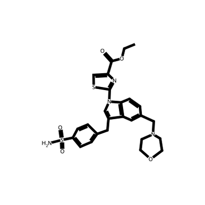 CCOC(=O)c1csc(-n2cc(Cc3ccc(S(N)(=O)=O)cc3)c3cc(CN4CCOCC4)ccc32)n1